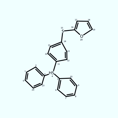 c1ccc([SH](c2ccccc2)c2ccc(Sc3ccco3)cc2)cc1